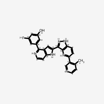 Cc1ccncc1-c1ccc2[nH]nc(-c3cc4c(-c5cc(O)cc(F)c5)nccc4[nH]3)c2n1